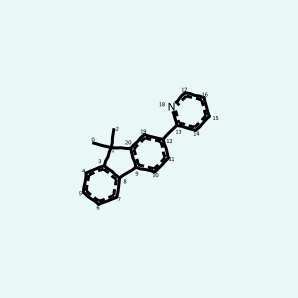 CC1(C)c2ccccc2-c2ccc(-c3ccccn3)cc21